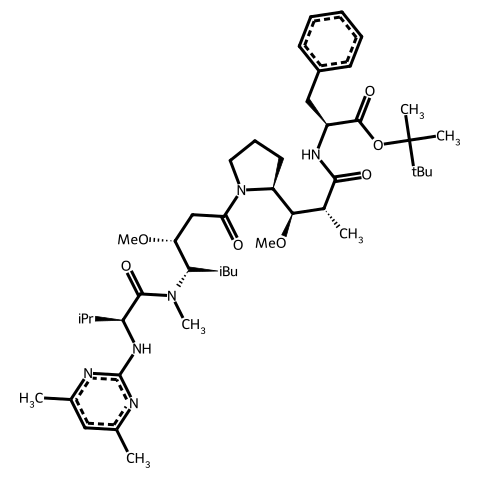 CC[C@H](C)[C@@H]([C@@H](CC(=O)N1CCC[C@H]1[C@H](OC)[C@@H](C)C(=O)N[C@@H](Cc1ccccc1)C(=O)OC(C)(C)C(C)(C)C)OC)N(C)C(=O)[C@@H](Nc1nc(C)cc(C)n1)C(C)C